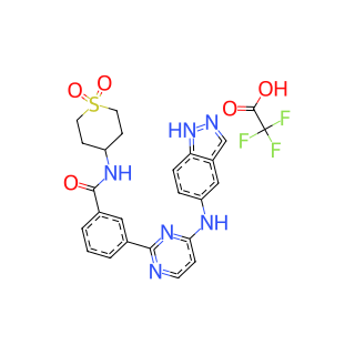 O=C(NC1CCS(=O)(=O)CC1)c1cccc(-c2nccc(Nc3ccc4[nH]ncc4c3)n2)c1.O=C(O)C(F)(F)F